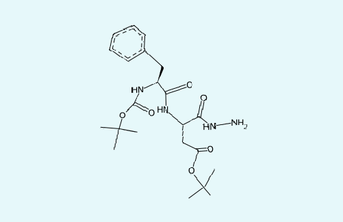 CC(C)(C)OC(=O)CC(NC(=O)[C@H](Cc1ccccc1)NC(=O)OC(C)(C)C)C(=O)NN